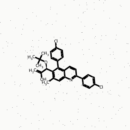 C=C(O)[C@@H](OC(C)(C)C)c1c(C)cc2nc(-c3ccc(Cl)cc3)ccc2c1-c1ccc(Cl)cc1